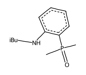 CCC(C)Nc1ccccc1P(C)(C)=O